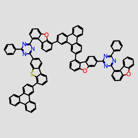 c1ccc(-c2nc(-c3ccc4c(c3)oc3cccc(-c5ccc6c7ccccc7c7ccc(-c8cccc9c8oc8cccc(-c%10nc(-c%11ccccc%11)nc(-c%11ccc%12c(c%11)sc%11c(-c%13ccc%14c%15ccccc%15c%15ccccc%15c%14c%13)cccc%11%12)n%10)c89)cc7c6c5)c34)nc(-c3cccc4oc5ccccc5c34)n2)cc1